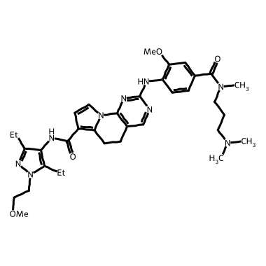 CCc1nn(CCOC)c(CC)c1NC(=O)c1ccn2c1CCc1cnc(Nc3ccc(C(=O)N(C)CCCN(C)C)cc3OC)nc1-2